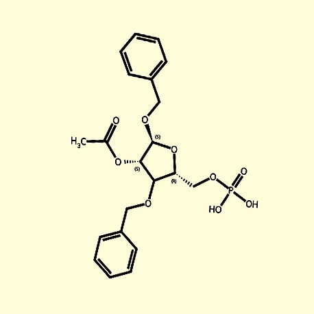 CC(=O)O[C@H]1C(OCc2ccccc2)[C@@H](COP(=O)(O)O)O[C@@H]1OCc1ccccc1